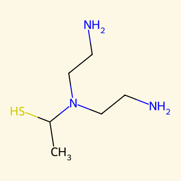 CC(S)N(CCN)CCN